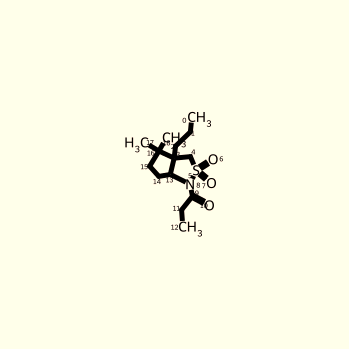 CCCC12CS(=O)(=O)N(C(=O)CC)C1CCC2(C)C